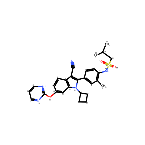 Cc1cc(-c2c(C#N)c3ccc(Oc4ncccn4)cc3n2C2CCC2)ccc1NS(=O)(=O)CC(C)C